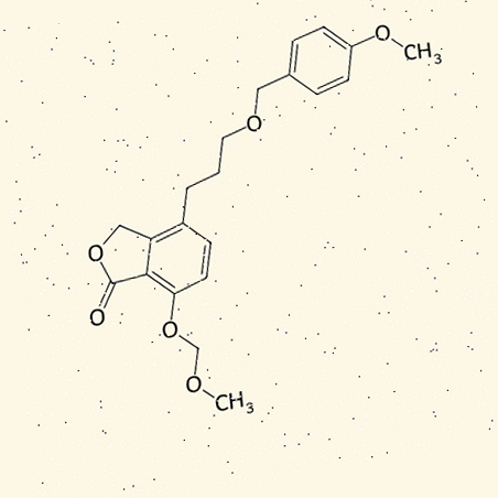 COCOc1ccc(CCCOCc2ccc(OC)cc2)c2c1C(=O)OC2